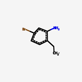 [CH2]Cc1ccc(Br)cc1N